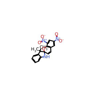 CC1(C)c2ccccc2NC12C=Cc1cc([N+](=O)[O-])cc([N+](=O)[O-])c1O2